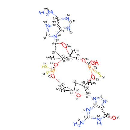 Nc1nc2c(ncn2[C@@H]2O[C@@H]3COP(=S)(S)O[C@H]4C[C@H](n5cnc6c(N)ncnc65)O[C@@H]4COP(O)(=S)O[C@@H]2C3)c(=O)[nH]1